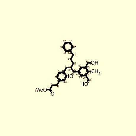 COC(=O)CCc1ccc(C[C@@H](CCCc2ccccc2)[C@@H](O)c2cc(CO)c(C)c(CO)c2)cc1